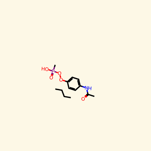 CC(=O)Nc1ccc(OOP(C)(=O)O)cc1.CCCC